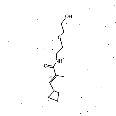 C/C(=C\C1CCC1)C(=O)NCCOCCO